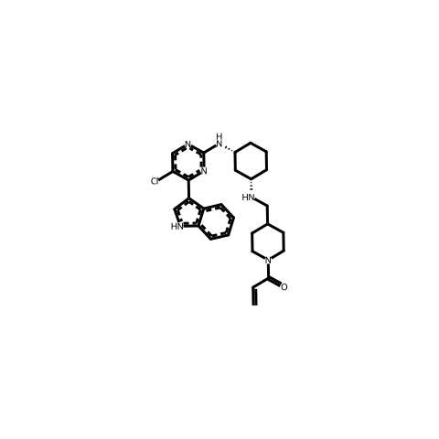 C=CC(=O)N1CCC(CN[C@H]2CCC[C@@H](Nc3ncc(Cl)c(-c4c[nH]c5ccccc45)n3)C2)CC1